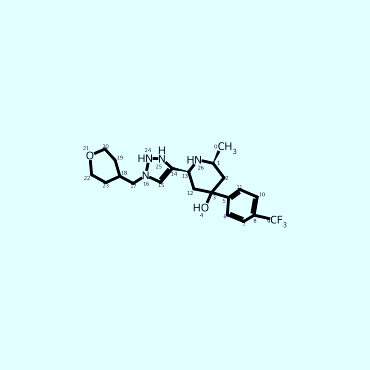 C[C@H]1CC(O)(c2ccc(C(F)(F)F)cc2)C[C@@H](C2=CN(CC3CCOCC3)NN2)N1